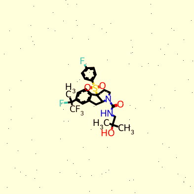 CC(C)(O)CNC(=O)N1CCC2(S(=O)(=O)c3ccc(F)cc3)c3ccc(C(C)(F)C(F)(F)F)cc3CC12